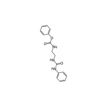 O=C(NCCNC(=O)Oc1ccccc1)Nc1ccccc1